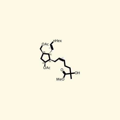 CCCCCC/C=C/[C@H]1[C@H](COC(C)=O)C[C@H](OC(C)=O)[C@@H]1C/C=C\CCC(C)(O)C(=O)OC